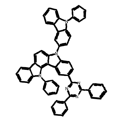 c1ccc(-c2nc(-c3ccccc3)nc(-c3ccc4c(c3)c3c(ccc5c6ccccc6n(-c6ccccc6)c53)n4-c3ccc4c(c3)c3ccccc3n4-c3ccccc3)n2)cc1